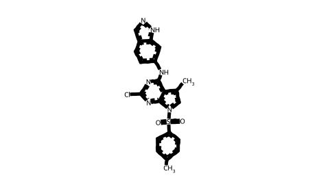 Cc1ccc(S(=O)(=O)n2cc(C)c3c(Nc4ccc5cn[nH]c5c4)nc(Cl)nc32)cc1